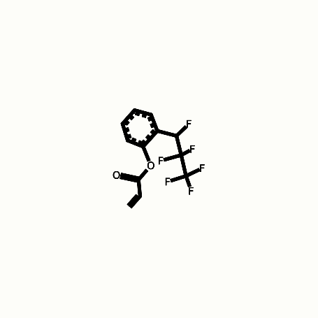 C=CC(=O)Oc1ccccc1C(F)C(F)(F)C(F)(F)F